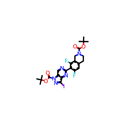 CC(C)(C)OC(=O)N1CCc2cc(F)c(-c3ncc4c(n3)c(I)nn4C(=O)OC(C)(C)C)c(F)c2C1